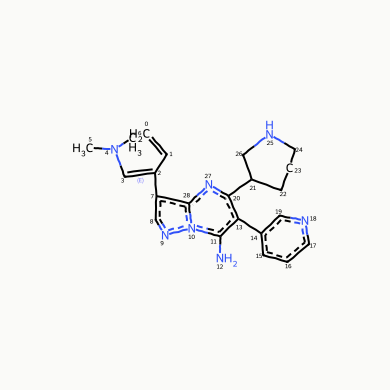 C=C/C(=C\N(C)C)c1cnn2c(N)c(-c3cccnc3)c(C3CCCNC3)nc12